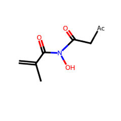 C=C(C)C(=O)N(O)C(=O)CC(C)=O